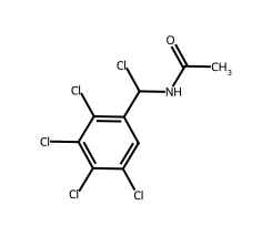 CC(=O)NC(Cl)c1cc(Cl)c(Cl)c(Cl)c1Cl